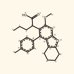 CCCC(C(=O)O)c1c(OC)nc2sc3c(c2c1-c1ccc(C)cc1)CCCC3